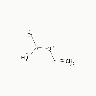 C=COC(C)CC